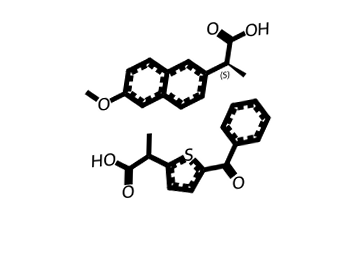 CC(C(=O)O)c1ccc(C(=O)c2ccccc2)s1.COc1ccc2cc([C@H](C)C(=O)O)ccc2c1